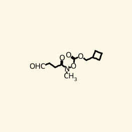 CN(OC(=O)OCC1CCC1)C(=O)CCC=O